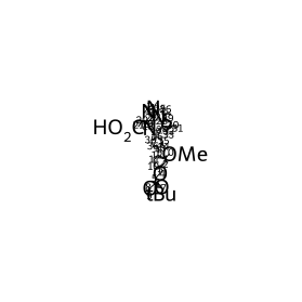 COc1cc(OCC(=O)OC(C)(C)C)ccc1-c1ccc(C2=N[C@@H](CC(=O)O)c3nnc(C)n3-c3sc(C)c(C)c32)cc1